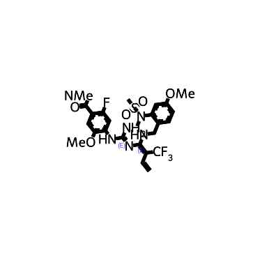 C=C/C(=C(\N=C(/N)Nc1cc(F)c(C(=O)NC)cc1OC)NCc1ccc(OC)cc1N(C)S(C)(=O)=O)C(F)(F)F